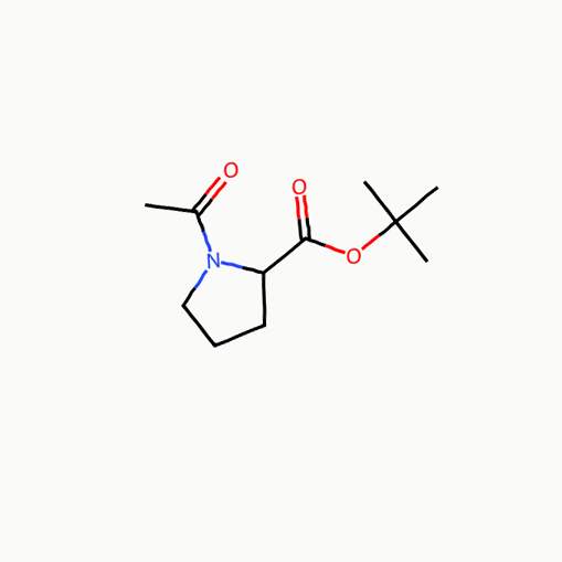 CC(=O)N1CCCC1C(=O)OC(C)(C)C